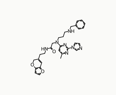 Cc1cc(N(CCCNCc2ccccc2)CC(=O)NCCC2=Cc3occc3OC2)nc(-n2ccnc2)n1